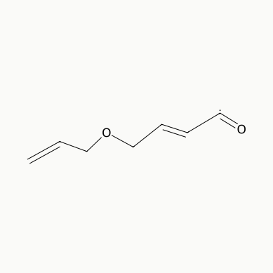 C=CCOCC=C[C]=O